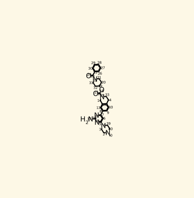 CN1CCN(c2cc(-c3ccc4c(c3)CN(C(=O)OC3CCN(C(=O)c5ccccc5)CC3)CC4)nc(N)n2)CC1